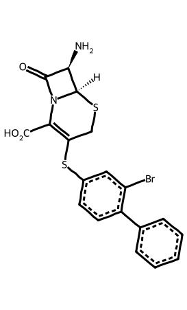 N[C@@H]1C(=O)N2C(C(=O)O)=C(Sc3ccc(-c4ccccc4)c(Br)c3)CS[C@H]12